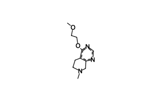 COCCOc1ncnc2c1CCN(C)C2